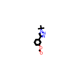 CC(C)(C)n1cc(-c2cccc(OC=O)c2)nn1